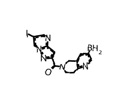 Bc1cnc2c(c1)CN(C(=O)c1cc3ncc(I)cn3n1)CC2